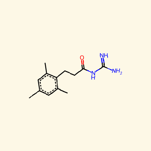 Cc1cc(C)c(CCC(=O)NC(=N)N)c(C)c1